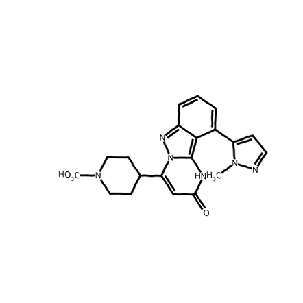 Cn1nccc1-c1cccc2nn3c(C4CCN(C(=O)O)CC4)cc(=O)[nH]c3c12